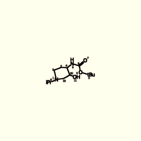 CC(C)N1CCC(NC(=O)OC(C)(C)C)C(O)C1